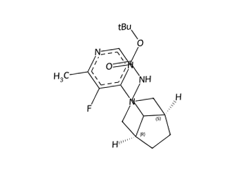 Cc1ncnc(N2C[C@H]3CC[C@@H](C2)C3CNC(=O)OC(C)(C)C)c1F